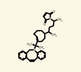 CC(CCC(C)N1C(=O)C=CC1=O)C1CCC/C=C(\C(C)(C)N2Cc3ccccc3C#Cc3ccccc32)CC1